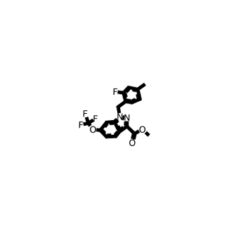 COC(=O)c1nn(Cc2ccc(C)cc2F)c2cc(OC(F)(F)F)ccc12